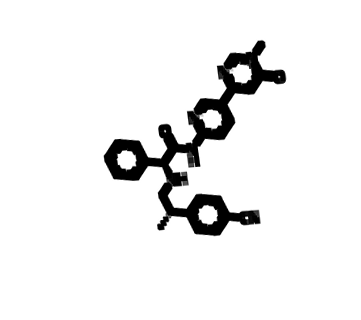 C[C@H](CN[C@H](C(=O)Nc1ccc(-c2cc(=O)n(C)cn2)cn1)c1ccccc1)c1ccc(C#N)cc1